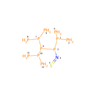 PP(P)P(N=S)P(P(P)P)P(P)P